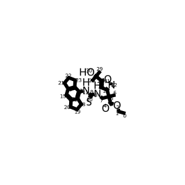 CCOC(=O)C(C)(CNC(=S)Nc1c2c(cc3c1CCC3)CCC2)c1cc(C(C)(C)O)on1